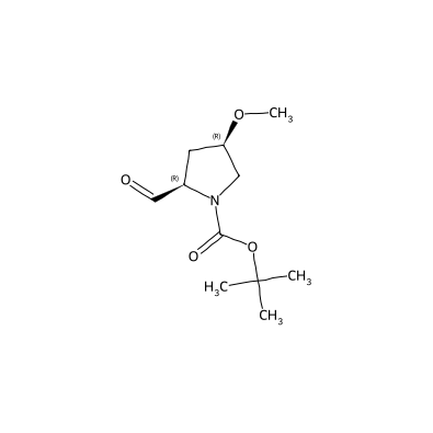 CO[C@@H]1C[C@H](C=O)N(C(=O)OC(C)(C)C)C1